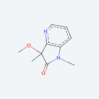 COC1(C)C(=O)N(C)c2cccnc21